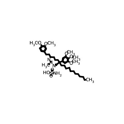 CCCCCCCCCCCCC(C#N)(CCCC(CCc1ccc(OC)c(OC)c1)N=NC)c1cc(OC)c(OC)c(OC)c1.NS(=O)(=O)O